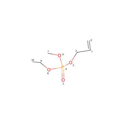 C=CCOP(=O)(OC)OCC